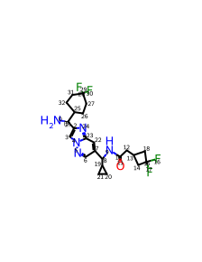 N[C@H](c1cn2ncc(C(NC(=O)CC3CC(F)(F)C3)C3CC3)cc2n1)C1CCC(F)(F)CC1